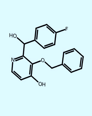 Oc1ccnc(C(O)c2ccc(F)cc2)c1OCc1ccccc1